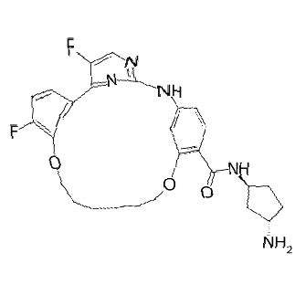 N[C@H]1CC[C@H](NC(=O)c2ccc3cc2OCCCCCCOc2cc(ccc2F)-c2nc(ncc2F)N3)C1